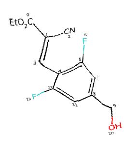 CCOC(=O)/C(C#N)=C/c1c(F)cc(CO)cc1F